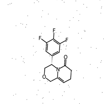 O=C1CCC=C2COC[C@H](c3cc(F)c(F)c(F)c3)N12